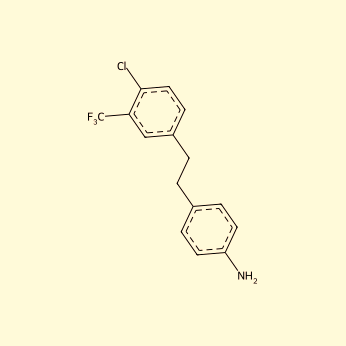 Nc1ccc(CCc2ccc(Cl)c(C(F)(F)F)c2)cc1